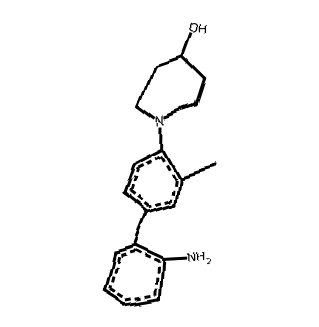 Cc1cc(-c2ccccc2N)ccc1N1CCC(O)CC1